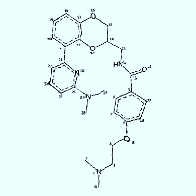 CN(C)CCOc1ccc(C(=O)NCC2COc3cccc(-c4cccc(N(C)C)n4)c3O2)cc1